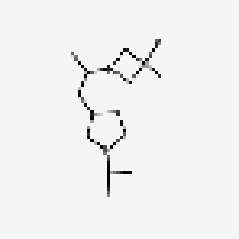 CC(CC1CCN(C(C)(C)C)C1)N1CC(F)(F)C1